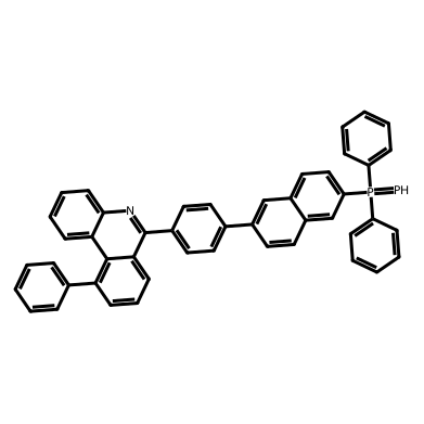 P=P(c1ccccc1)(c1ccccc1)c1ccc2cc(-c3ccc(-c4nc5ccccc5c5c(-c6ccccc6)cccc45)cc3)ccc2c1